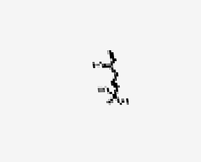 C=CC(O)CC=CC(C)(O)O